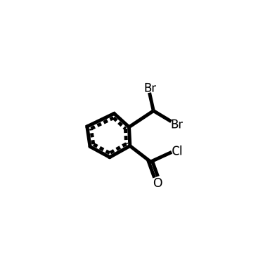 O=C(Cl)c1ccccc1C(Br)Br